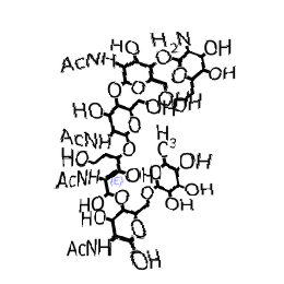 CC(=O)N/C(=C(/O)C(CCO)OC1OC(CO)C(OC2OC(CO)C(OC3OC(CO)C(O)C(O)C3N)C(O)C2NC(C)=O)C(O)C1NC(C)=O)C(O)OC1C(COC2OC(C)C(O)C(O)C2O)OC(O)C(NC(C)=O)C1O